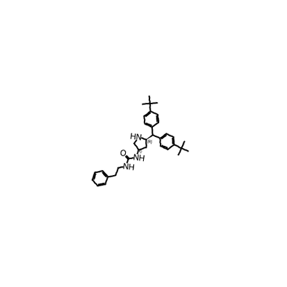 CC(C)(C)c1ccc(C(c2ccc(C(C)(C)C)cc2)[C@H]2C[C@@H](NC(=O)NCCc3ccccc3)CN2)cc1